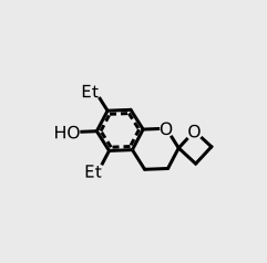 CCc1cc2c(c(CC)c1O)CCC1(CCO1)O2